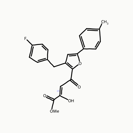 COC(=O)/C(O)=C/C(=O)c1oc(-c2ccc(C)cc2)cc1Cc1ccc(F)cc1